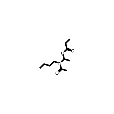 CCCCN(C(C)=O)C(C)OC(=O)CC